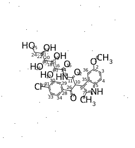 COc1ccc2[nH]c(C)c(C(C(=O)NC(=O)[C@H](O)[C@@H](O)[C@H](O)[C@H](O)CO)C(=O)c3ccc(Cl)cc3)c2c1